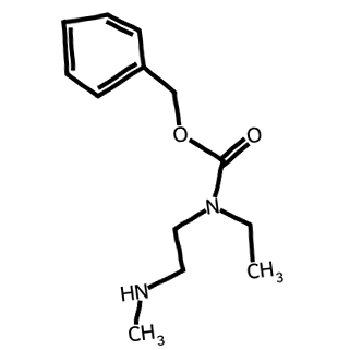 CCN(CCNC)C(=O)OCc1ccccc1